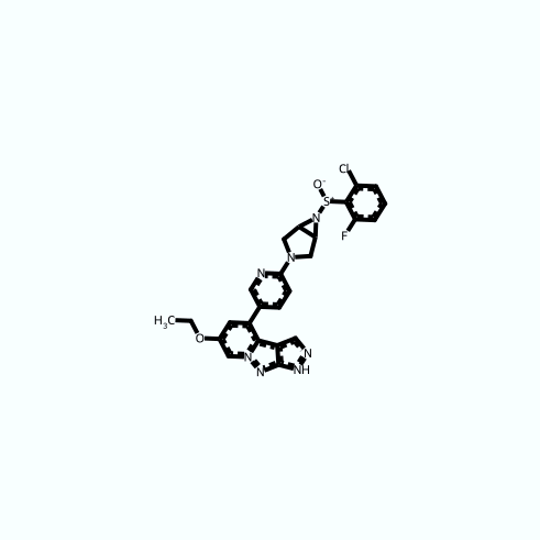 CCOc1cc(-c2ccc(N3CC4C(C3)N4[S+]([O-])c3c(F)cccc3Cl)nc2)c2c3cn[nH]c3nn2c1